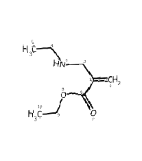 C=C(CNCC)C(=O)OCC